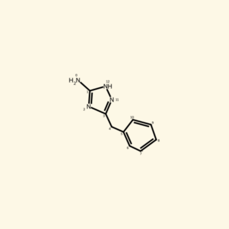 Nc1nc(Cc2c[c]ccc2)n[nH]1